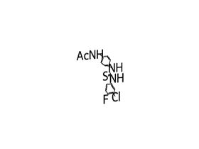 CC(=O)Nc1ccc(NC(=S)Nc2ccc(F)c(Cl)c2)cc1